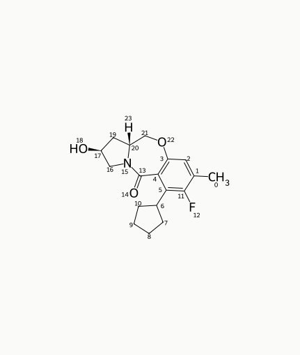 Cc1cc2c(c(C3CCCC3)c1F)C(=O)N1C[C@@H](O)C[C@@H]1CO2